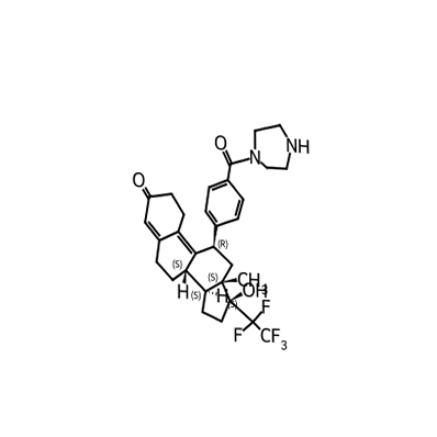 C[C@]12C[C@H](c3ccc(C(=O)N4CCNCC4)cc3)C3=C4CCC(=O)C=C4CC[C@H]3[C@@H]1CC[C@@]2(O)C(F)(F)C(F)(F)F